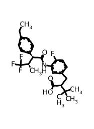 CCc1ccc([C@@H](C(=O)Nc2cc(CC(C(=O)O)C(C)(C)C)ccc2F)[C@@H](C)C(F)(F)F)cc1